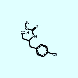 CC(C)(C)OC(=O)NC(CC(=O)O)Cc1ccc(C#N)cc1